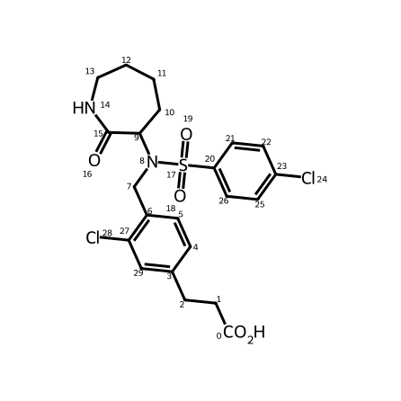 O=C(O)CCc1ccc(CN(C2CCCCNC2=O)S(=O)(=O)c2ccc(Cl)cc2)c(Cl)c1